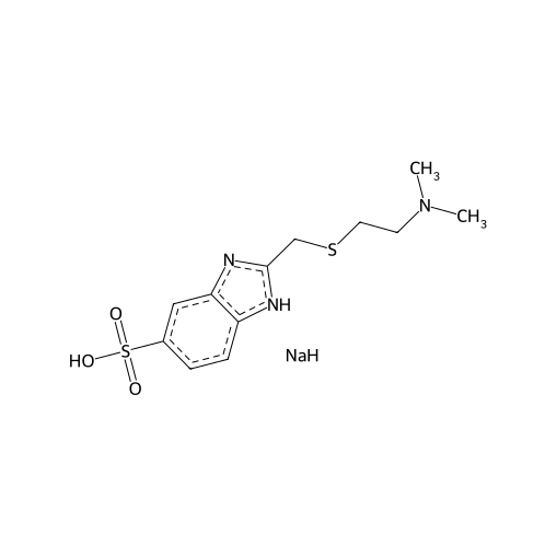 CN(C)CCSCc1nc2cc(S(=O)(=O)O)ccc2[nH]1.[NaH]